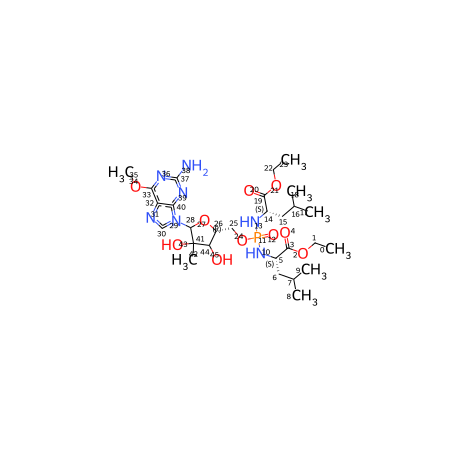 CCOC(=O)[C@H](CC(C)C)NP(=O)(N[C@@H](CC(C)C)C(=O)OCC)OC[C@H]1OC(n2cnc3c(OC)nc(N)nc32)C(C)(O)C1O